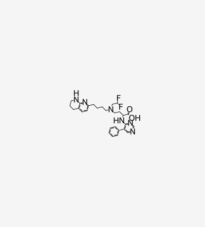 O=C(O)C(CCN(CCCCc1ccc2c(n1)NCCC2)CC(F)F)Nc1ncncc1-c1ccccc1